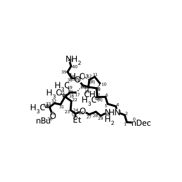 CCCCCCCCCCCCNCCC[C@@H](C)[C@H]1CC[C@@H](C)[C@]1(C)[C@H](C[C@@H](C)[C@@](C)(CC[C@H](CC)OCCCN)CC[C@H](C)OCCCC)OCCCN